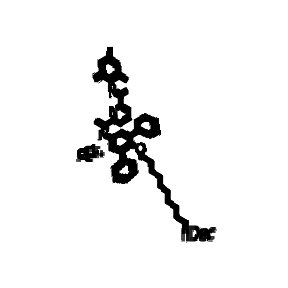 CCCCCCCCCCCCCCCCCCCCOc1c(-c2ccccc2)cc(N=C(C)c2cccc(C(C)=Nc3c(C)cc(C)cc3C)n2)cc1-c1ccccc1.[Cl-].[Cl-].[Fe+2]